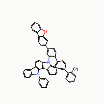 N#Cc1ccccc1-c1ccc(-c2ccc(-c3ccc4c(c3)oc3ccccc34)cc2-n2c3ccccc3c3c2ccc2c4ccccc4n(-c4ccccc4)c23)cc1